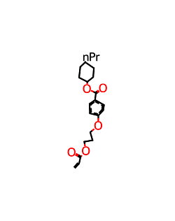 C=CC(=O)OCCCOc1ccc(C(=O)OC2CCC(CCC)CC2)cc1